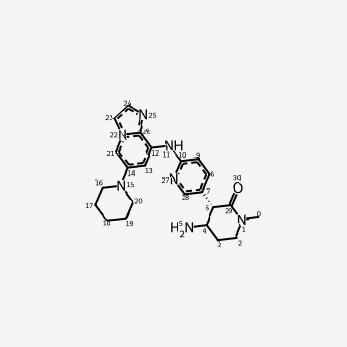 CN1CCC(N)[C@H](c2ccc(Nc3cc(N4CCCCC4)cn4ccnc34)nc2)C1=O